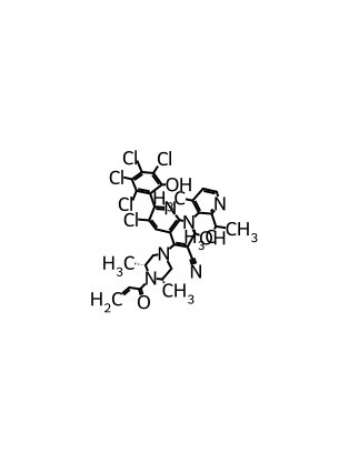 C=CC(=O)N1[C@H](C)CN(C2=C(C#N)C(O)N(c3c(C)ccnc3C(C)C)c3nc(-c4c(O)c(Cl)c(Cl)c(Cl)c4Cl)c(Cl)cc32)C[C@@H]1C